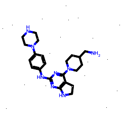 NCC1CCN(c2nc(Nc3ccc(N4CCNCC4)cc3)nc3c2CCN3)CC1